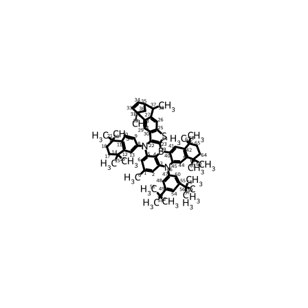 Cc1cc2c3c(c1)N(c1ccc4c(c1)C(C)(C)CCC4(C)C)c1c(sc4cc5c(cc14)[C@]1(C)C=CC(C1)C5C)B3c1cc3c(cc1N2c1cc(C(C)(C)C)cc(C(C)(C)C)c1)C(C)(C)CCC3(C)C